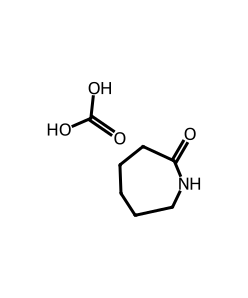 O=C(O)O.O=C1CCCCCN1